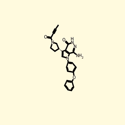 CC#CC(=O)N1CC[C@@H](c2cn(-c3ccc(Oc4ccccc4)cc3)c3c(N)n[nH]c(=O)c23)C1